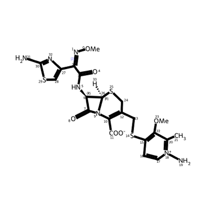 CO/N=C(\C(=O)N[C@@H]1C(=O)N2C(C(=O)[O-])=C(CSc3cc[n+](N)c(C)c3OC)CS[C@H]12)c1csc(N)n1